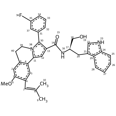 COc1cc2c(cc1C=C(C)C)-c1cc(C(=O)N[C@@H](CO)Cc3c[nH]c4ccccc34)c(-c3cccc(F)c3)n1CC2